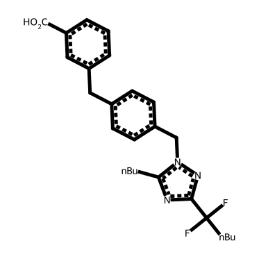 CCCCc1nc(C(F)(F)CCCC)nn1Cc1ccc(Cc2cccc(C(=O)O)c2)cc1